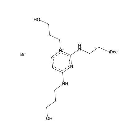 CCCCCCCCCCCCNc1nc(NCCCO)cc[n+]1CCCO.[Br-]